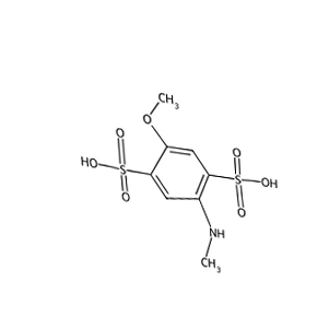 CNc1cc(S(=O)(=O)O)c(OC)cc1S(=O)(=O)O